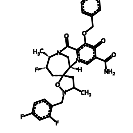 CC1C[C@]2(C[C@H](F)[C@H](C)N3C[C@H]2n2cc(C(N)=O)c(=O)c(OCc4ccccc4)c2C3=O)ON1Cc1ccc(F)cc1F